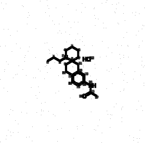 CCCN1CCCCC12CCc1ccc(NC(C)=O)cc1C2.Cl